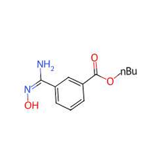 CCCCOC(=O)c1cccc(/C(N)=N\O)c1